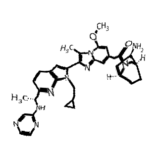 COc1cc(C(=O)N2[C@H]3CC[C@@H]2[C@H](N)C3)cc2nc(-c3cc4ccc([C@@H](C)Nc5cnccn5)nc4n3CC3CC3)c(C)n12